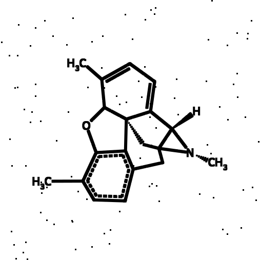 CC1=CC=C2[C@@H]3[N@](C)C34Cc3ccc(C)c5c3[C@@]2(C4)C1O5